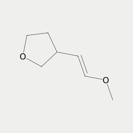 COC=CC1CCOC1